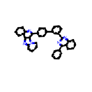 c1ccc(-c2nc(-c3cccc(-c4ccc(-c5nc6ccccc6c6nc7ccccn7c56)cc4)c3)nc3ccccc23)cc1